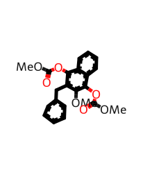 COC(=O)Oc1c(Cc2ccccc2)c(OC)c(OC(=O)OC)c2ccccc12